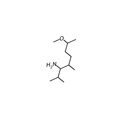 COC(C)CCC(C)C(N)C(C)C